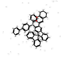 CC(C)c1cc2c(cc1-c1cc3c(cc1N(c1ccccc1)c1ccc(-c4ccccc4)cc1)C1(c4ccccc4-c4ccccc41)c1ccccc1-3)CCCC2